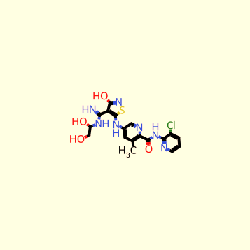 Cc1cc(Nc2snc(O)c2C(=N)NC(O)CO)cnc1C(=O)Nc1ncccc1Cl